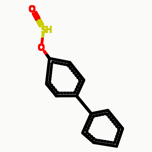 O=[SH]Oc1ccc(-c2ccccc2)cc1